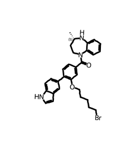 C[C@H]1CCN(C(=O)c2ccc(-c3ccc4[nH]ccc4c3)c(OCCCCCBr)c2)c2ccccc2N1